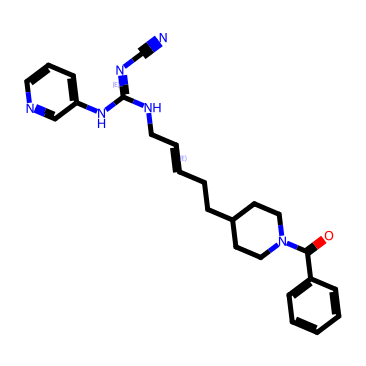 N#C/N=C(\NC/C=C/CCC1CCN(C(=O)c2ccccc2)CC1)Nc1cccnc1